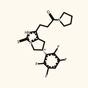 O=C(CCc1[nH]c(=S)n2c1C[C@H](c1c(F)c(F)cc(F)c1F)C2)N1CCCC1